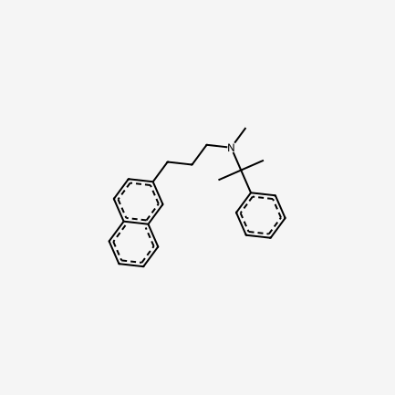 CN(CCCc1ccc2ccccc2c1)C(C)(C)c1ccccc1